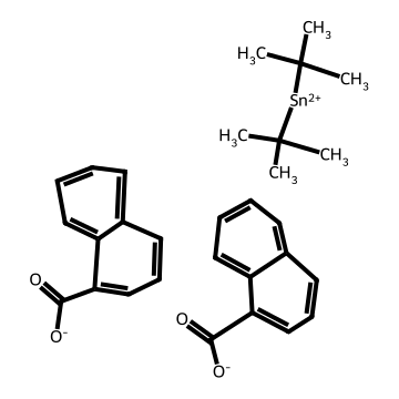 C[C](C)(C)[Sn+2][C](C)(C)C.O=C([O-])c1cccc2ccccc12.O=C([O-])c1cccc2ccccc12